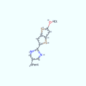 CCCCCc1cnc(-c2cc3sc(OCC)cc3s2)nc1